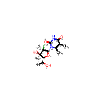 [2H]C(O)[C@H]1O[C@@H](n2c(C)c(C)c(=O)[nH]c2=O)[C@](C)(F)[C@]1([2H])O